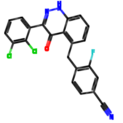 N#Cc1ccc(Cc2cccc3[nH]nc(-c4cccc(Cl)c4Cl)c(=O)c23)c(F)c1